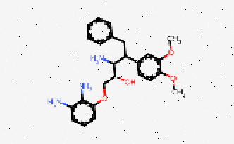 COc1ccc(C(Cc2ccccc2)C(N)[C@@H](O)COc2cccc(N)c2N)cc1OC